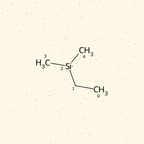 CC[Si](C)C